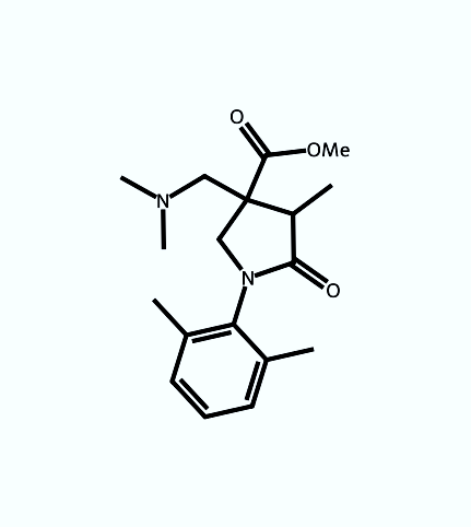 COC(=O)C1(CN(C)C)CN(c2c(C)cccc2C)C(=O)C1C